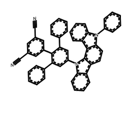 N#Cc1cc(C#N)cc(-c2c(-c3ccccc3)cc(-n3c4ccccc4c4ccc5c(c6ccccc6n5-c5ccccc5)c43)cc2-c2ccccc2)c1